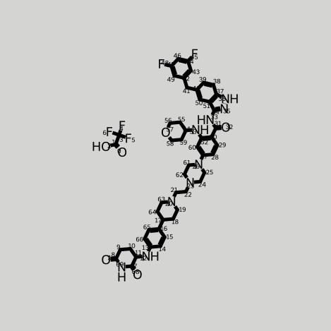 O=C(O)C(F)(F)F.O=C1CCC(Nc2ccc(C3CCN(CCN4CCN(c5ccc(C(=O)Nc6n[nH]c7ccc(Cc8cc(F)cc(F)c8)cc67)c(NC6CCOCC6)c5)CC4)CC3)cc2)C(=O)N1